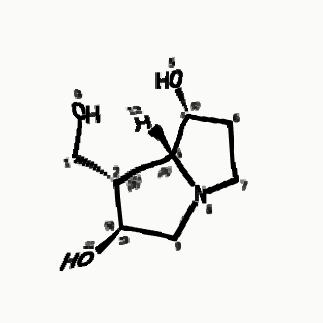 OC[C@@H]1[C@@H]2[C@H](O)CCN2C[C@H]1O